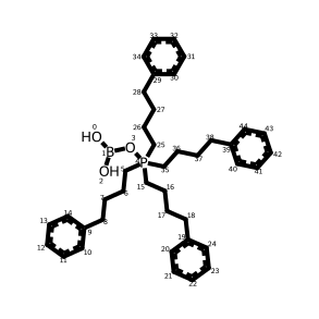 OB(O)OP(CCCCc1ccccc1)(CCCCc1ccccc1)(CCCCc1ccccc1)CCCCc1ccccc1